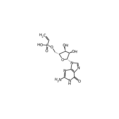 C=CP(=O)(O)OC[C@H]1O[C@@H](n2cnc3c(=O)[nH]c(N)nc32)[C@H](O)[C@@H]1O